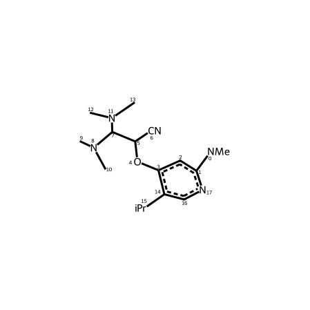 CNc1cc(OC(C#N)C(N(C)C)N(C)C)c(C(C)C)cn1